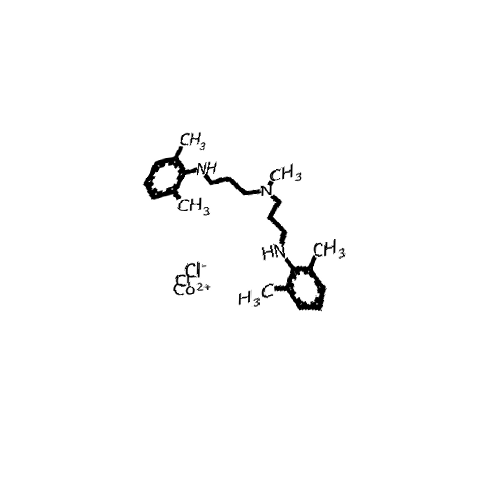 Cc1cccc(C)c1NCCCN(C)CCCNc1c(C)cccc1C.[Cl-].[Cl-].[Co+2]